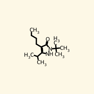 CCCCc1c(C(C)C)[nH]n(C(C)(C)C)c1=O